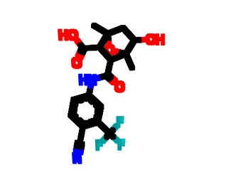 CC12CC(O)C(C)(O1)C(C(=O)Nc1ccc(C#N)c(C(F)(F)F)c1)C2C(=O)O